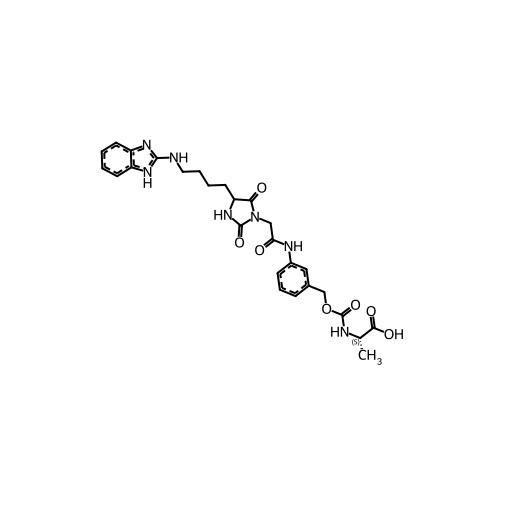 C[C@H](NC(=O)OCc1cccc(NC(=O)CN2C(=O)NC(CCCCNc3nc4ccccc4[nH]3)C2=O)c1)C(=O)O